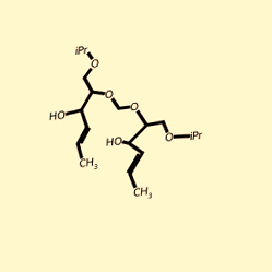 CC=CC(O)C(COC(C)C)OCOC(COC(C)C)C(O)C=CC